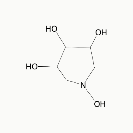 OC1CN(O)CC(O)C1O